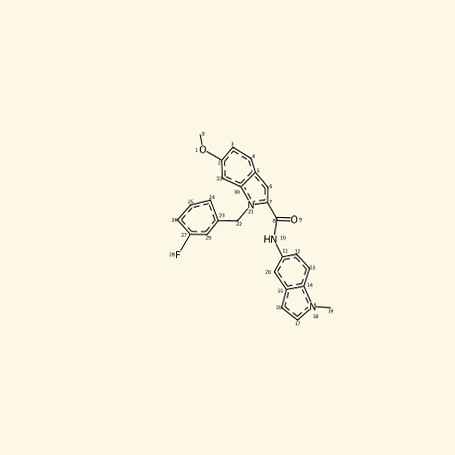 COc1ccc2cc(C(=O)Nc3ccc4c(ccn4C)c3)n(Cc3cccc(F)c3)c2c1